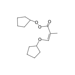 CC(=COC1CCCC1)C(=O)OOC1CCCC1